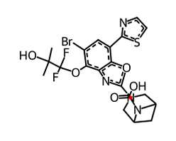 CC(C)(O)C(F)(F)Oc1c(Br)cc(-c2nccs2)c2oc(N3CC4CC(C3)N4C(=O)O)nc12